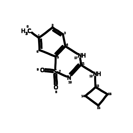 Cc1ccc2c(c1)S(=O)(=O)N=C(NC1CCC1)N2